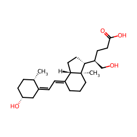 C[C@H]1CC[C@@H](O)C/C1=C/C=C1CCC[C@]2(C)[C@@H]([C@H](CO)CCC(=O)O)CC[C@@H]12